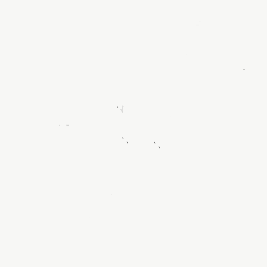 Cc1cc(C)c(O)c(-n2nc3cc(Br)c(Br)cc3n2)c1